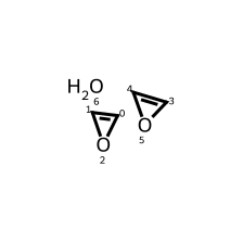 C1=CO1.C1=CO1.O